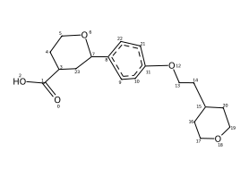 O=C(O)C1CCOC(c2ccc(OCCC3CCOCC3)cc2)C1